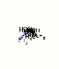 CC/C=C\C/C=C\C/C=C\C/C=C\C/C=C\C/C=C\CCC(=O)NC(CNC(=O)C(C)(C)CCCOc1cc(C)ccc1C)C(=O)OCC(CO)CO